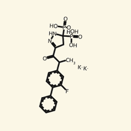 CC(C(=O)C1=NNC(P(=O)(O)O)(P(=O)(O)O)C1)c1ccc(-c2ccccc2)c(F)c1.[K].[K]